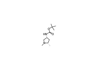 C[C@H]1C[C@@H](NC(=O)OC(C)(C)C)CN1C